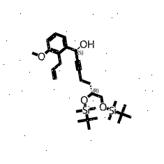 C=CCc1c(OC)cccc1[C@H](O)C#CCC[C@H](CO[Si](C)(C)C(C)(C)C)O[Si](C)(C)C(C)(C)C